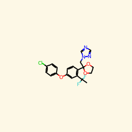 CC(F)(F)c1cc(Oc2ccc(Cl)cc2)ccc1C1(Cn2cncn2)OCCO1